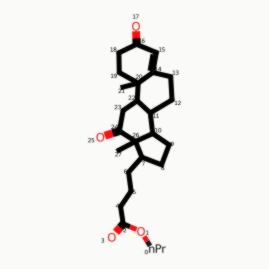 CCCOC(=O)CCCC1CCC2C3CCC4=CC(=O)CCC4(C)C3CC(=O)C12C